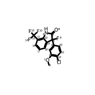 COc1cc(C2(F)C(=O)Nc3c(C(F)(F)F)cccc32)ccc1Cl